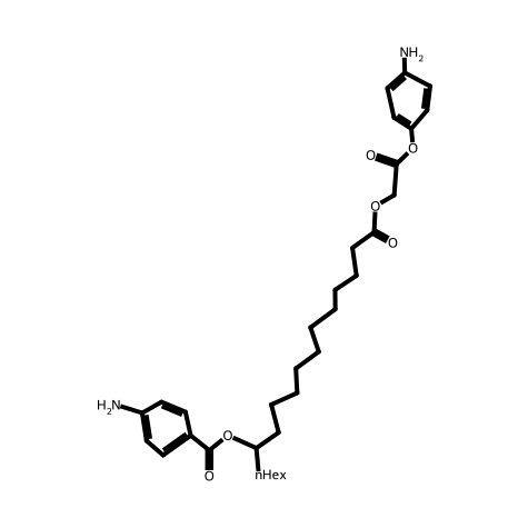 CCCCCCC(CCCCCCCCCCC(=O)OCC(=O)Oc1ccc(N)cc1)OC(=O)c1ccc(N)cc1